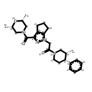 C[C@@H]1CN(C(=O)c2nn(CC(=O)N3CC[C@@H](c4ccccc4)[C@@H](C)C3)c3c2CCC3)C[C@H](C)O1